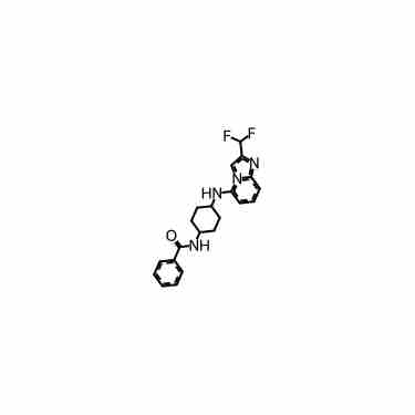 O=C(NC1CCC(Nc2cccc3nc(C(F)F)cn23)CC1)c1ccccc1